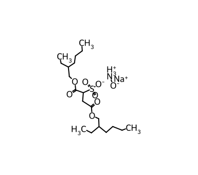 CCCCC(CC)COC(=O)CC(C(=O)OCC(CC)CCCC)S(=O)(=O)[O-].[NH3+][O-].[Na+]